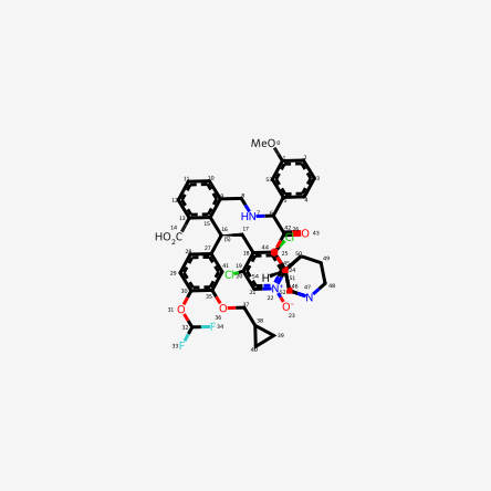 COc1cccc(C(NCc2cccc(C(=O)O)c2[C@@H](Cc2c(Cl)c[n+]([O-])cc2Cl)c2ccc(OC(F)F)c(OCC3CC3)c2)C(=O)O[C@H]2CN3CCC2CC3)c1